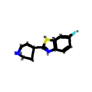 Fc1ccc2nc(C3CCNCC3)sc2c1